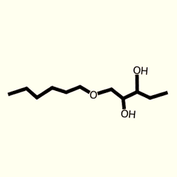 CCCCCCOCC(O)C(O)CC